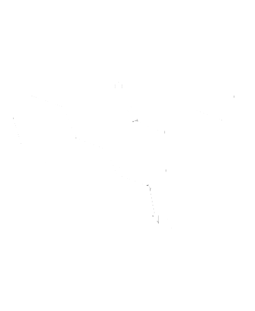 NC(=O)C=C(C(=O)OCC=O)C1CCCCC1